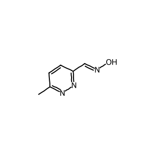 Cc1ccc(C=NO)nn1